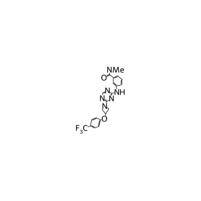 CNC(=O)c1cccc(Nc2ncnc(N3CC(Oc4ccc(C(F)(F)F)cc4)C3)n2)c1